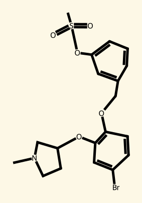 CN1CCC(Oc2cc(Br)ccc2OCc2cccc(OS(C)(=O)=O)c2)C1